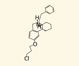 ClCCCOc1ccc2c(c1)[C@@]13CCCC[C@H]1[C@@H](C2)N(Cc1ccccc1)CC3